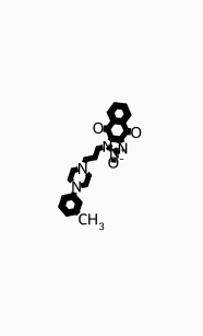 Cc1cccc(N2CCN(CCCn3c4c(n[n+]3[O-])C(=O)c3ccccc3C4=O)CC2)c1